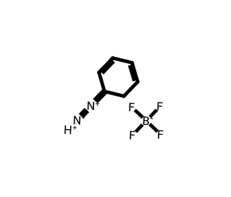 F[B-](F)(F)F.[H+].[N-]=[N+]=C1C=CC=CC1